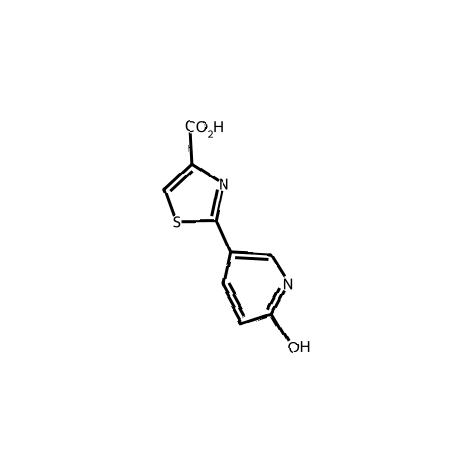 O=C(O)c1csc(-c2ccc(O)nc2)n1